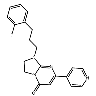 O=c1cc(-c2ccncc2)nc2n1CCN2CCCc1ccccc1F